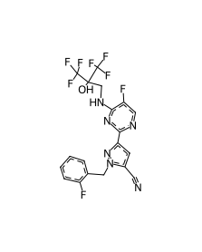 N#Cc1cc(-c2ncc(F)c(NCC(O)(C(F)(F)F)C(F)(F)F)n2)nn1Cc1ccccc1F